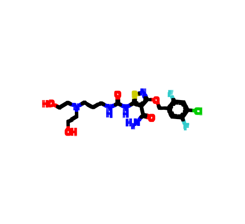 NC(=O)c1c(OCc2cc(F)c(Cl)cc2F)nsc1NC(=O)NCCCN(CCO)CCO